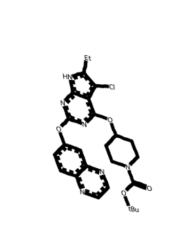 CCc1[nH]c2nc(Oc3ccc4nccnc4c3)nc(OC3CCN(C(=O)OC(C)(C)C)CC3)c2c1Cl